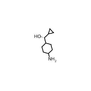 NC1CCC([C@H](O)C2CC2)CC1